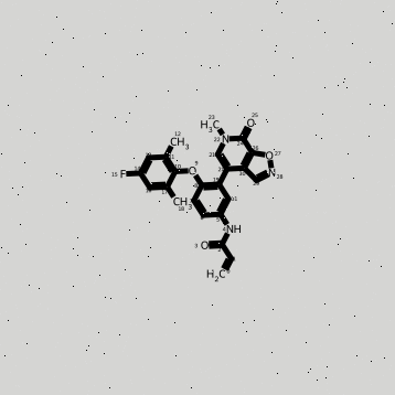 C=CC(=O)Nc1ccc(Oc2c(C)cc(F)cc2C)c(-c2cn(C)c(=O)c3oncc23)c1